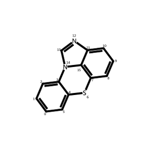 c1ccc2c(c1)Sc1cccc3ncn-2c13